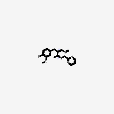 C=N/C=C(Cc1ccc(F)c(OC)c1)\C(C)=N/Cc1ncccn1